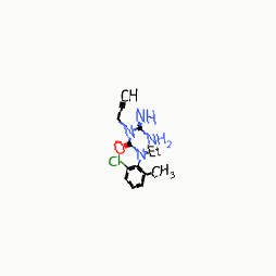 C#CCN(C(=N)N)C(=O)N(CC)c1c(C)cccc1Cl